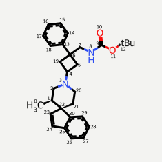 C[C@H]1CN(C2CC(CNC(=O)OC(C)(C)C)(c3ccccc3)C2)CC[C@@]12C=Cc1ccccc12